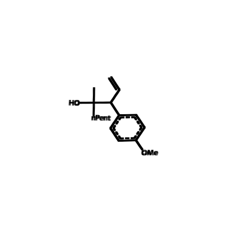 C=CC(c1ccc(OC)cc1)C(C)(O)CCCCC